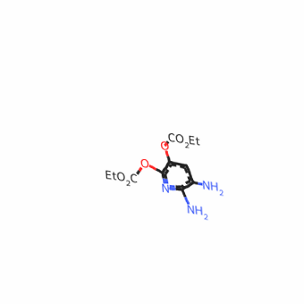 CCOC(=O)Oc1cc(N)c(N)nc1OC(=O)OCC